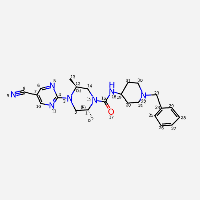 C[C@@H]1CN(c2ncc(C#N)cn2)[C@@H](C)CN1C(=O)NC1CCN(Cc2ccccc2)CC1